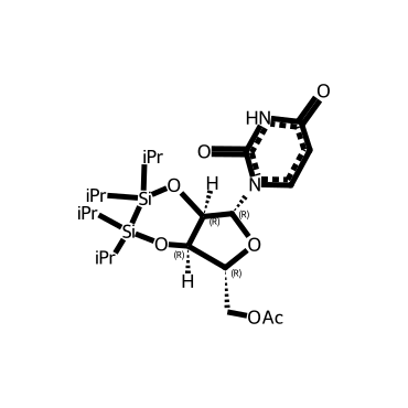 CC(=O)OC[C@H]1O[C@@H](n2ccc(=O)[nH]c2=O)[C@@H]2O[Si](C(C)C)(C(C)C)[Si](C(C)C)(C(C)C)O[C@@H]21